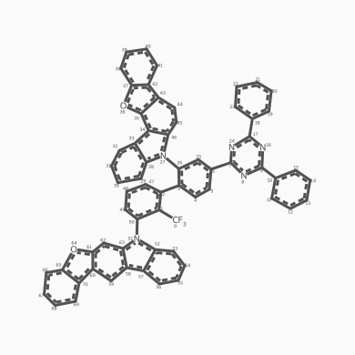 FC(F)(F)c1c(-c2ccc(-c3nc(-c4ccccc4)nc(-c4ccccc4)n3)cc2-n2c3ccccc3c3c4oc5ccccc5c4ccc32)cccc1-n1c2ccccc2c2cc3c(cc21)oc1ccccc13